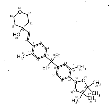 CCC(CC)(c1ccc(C=CC2(O)CCOCC2)c(C)c1)c1ccc(B2OC(C)(C)C(C)(C)O2)c(C)c1